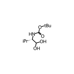 CC(C)[C@H](NC(=O)OC(C)(C)C)C(O)O